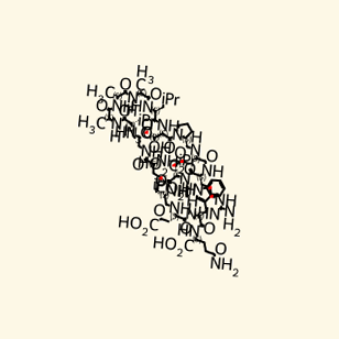 CC(C)C[C@H](NC(=O)[C@H](C)NC(=O)[C@H](C)NC(=O)[C@H](C)NC(=O)[C@@H](NC(=O)CNC(=O)[C@@H](N)CCC(=O)O)C(C)C)C(=O)N[C@H](C(=O)N1CCC[C@H]1C(=O)N[C@@H](CCC(=O)O)C(=O)N[C@@H](CCCNC(=N)N)C(=O)N[C@@H](CC(C)C)C(=O)N[C@@H](CC(C)C)C(=O)N[C@@H](CCC(=O)O)C(=O)N[C@@H](Cc1c[nH]c2ccccc12)C(=O)N[C@@H](CCC(N)=O)C(=O)O)[C@@H](C)O